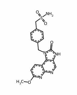 COc1ccc2c(ncc3[nH]c(=O)n(Cc4ccc(CS(N)(=O)=O)cc4)c32)n1